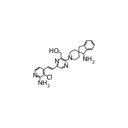 Nc1nccc(C=Cc2cnc(N3CCC4(CC3)Cc3ccccc3C4N)c(CO)n2)c1Cl